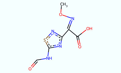 CO/N=C(/C(=O)O)c1nsc(NC=O)n1